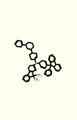 CC1(C)C2=C(CCC(N(C3=CCC(C4CCCC(C5=CC=CCC5)C4)CC3)C3C=CC(C4(c5ccccc5)c5ccccc5C5C=CC=CC54)=CC3)=C2)c2ccccc21